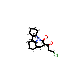 O=C(CCCl)C1C=C2CCCc3c4c(n(c32)C1=O)CCCC4